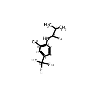 CC(C)C(I)Nc1ccc(C(F)(F)F)cc1Cl